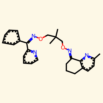 Cc1ccc2c(n1)/C(=N/OCC(C)(C)CO/N=C(/c1ccccc1)c1ccccn1)CCC2